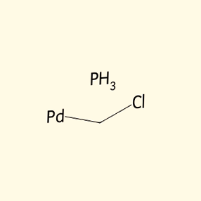 Cl[CH2][Pd].P